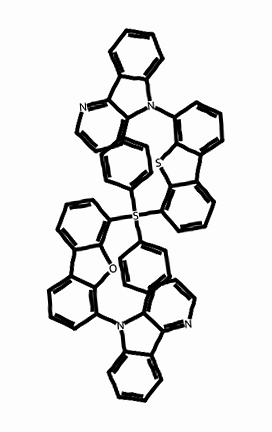 c1ccc(S(c2ccccc2)(c2cccc3c2oc2c(-n4c5ccccc5c5ncccc54)cccc23)c2cccc3c2sc2c(-n4c5ccccc5c5ncccc54)cccc23)cc1